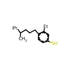 CCc1cc(S)ccc1CCCC(C)C(C)C